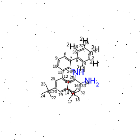 [2H]c1c([2H])c([2H])c(-c2cccc(-c3cc(C(C)(C)C)cc(C(C)(C)C)c3)c2Nc2ccccc2N)c([2H])c1[2H]